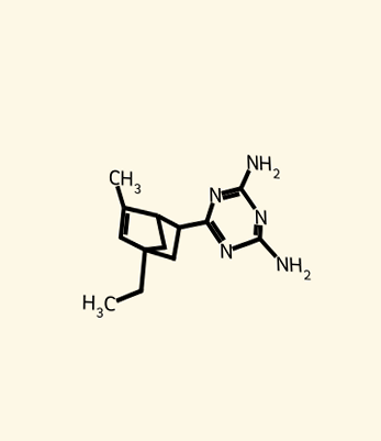 CCC12C=C(C)C(C1)C(c1nc(N)nc(N)n1)C2